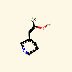 CCOC(=Cc1cccnc1)C(C)=O